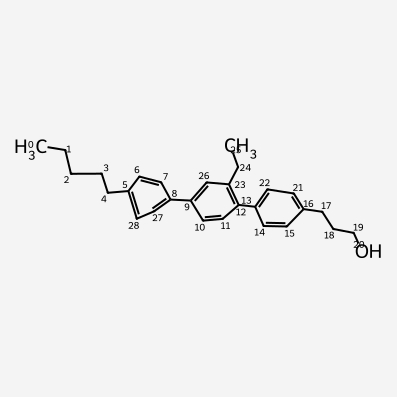 CCCCCc1ccc(-c2ccc(-c3ccc(CCCO)cc3)c(CC)c2)cc1